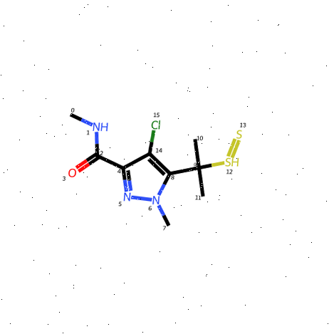 CNC(=O)c1nn(C)c(C(C)(C)[SH]=S)c1Cl